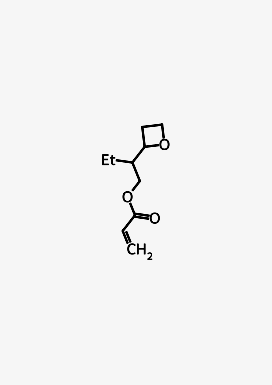 C=CC(=O)OCC(CC)C1CCO1